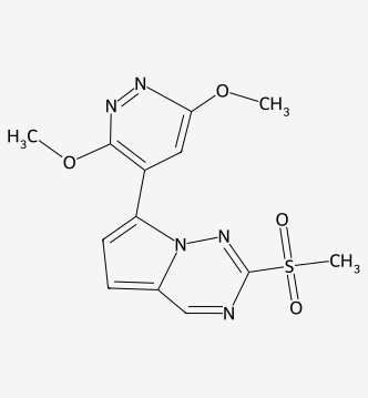 COc1cc(-c2ccc3cnc(S(C)(=O)=O)nn23)c(OC)nn1